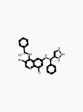 CC[C@@H](Nc1c(C#N)cnc2c(Cl)cc(N[C@@H](C3=CNNN3)c3ccccc3)cc12)c1ccccc1